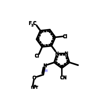 CCCO/C=N/c1c(C#N)c(C)nn1-c1c(Cl)cc(C(F)(F)F)cc1Cl